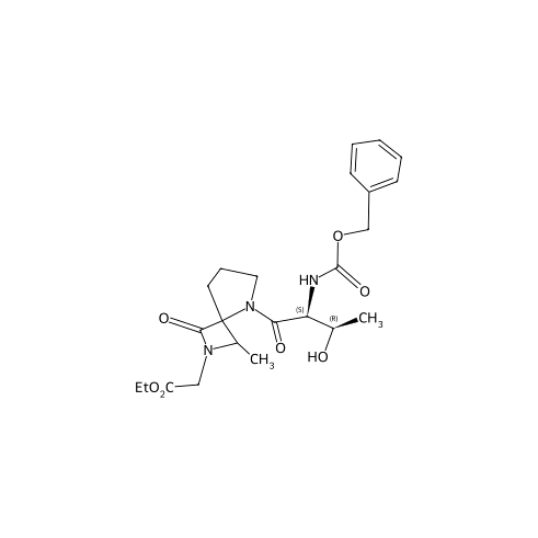 CCOC(=O)CN1C(=O)C2(CCCN2C(=O)[C@@H](NC(=O)OCc2ccccc2)[C@@H](C)O)C1C